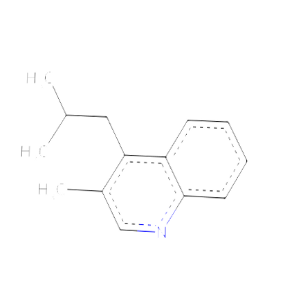 Cc1cnc2ccccc2c1CC(C)C